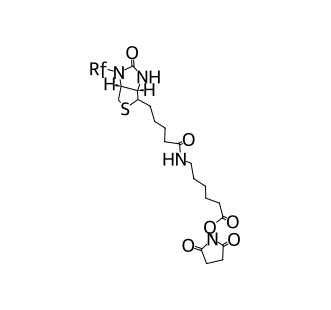 O=C(CCCCC1SC[C@H]2[C@@H]1NC(=O)[N]2[Rf])NCCCCCC(=O)ON1C(=O)CCC1=O